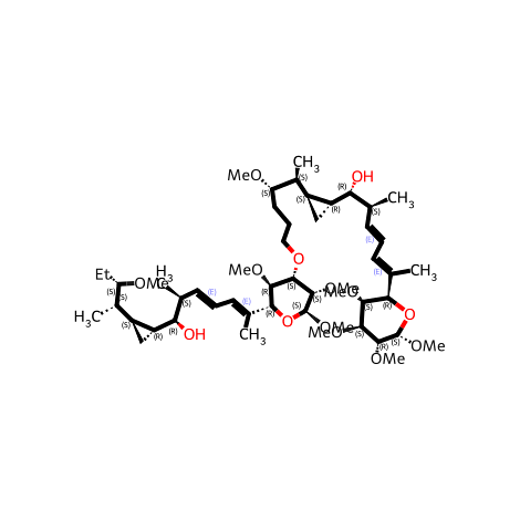 CC[C@H](OC)[C@@H](C)[C@@H]1C[C@H]1[C@H](O)[C@@H](C)/C=C/C=C(\C)[C@H]1O[C@H](OC)[C@@H](OC)[C@@H](OCCC[C@H](OC)[C@@H](C)[C@@H]2C[C@H]2[C@H](O)[C@@H](C)/C=C/C=C(\C)[C@H]2O[C@H](OC)[C@H](OC)[C@@H](OC)[C@H]2OC)[C@@H]1OC